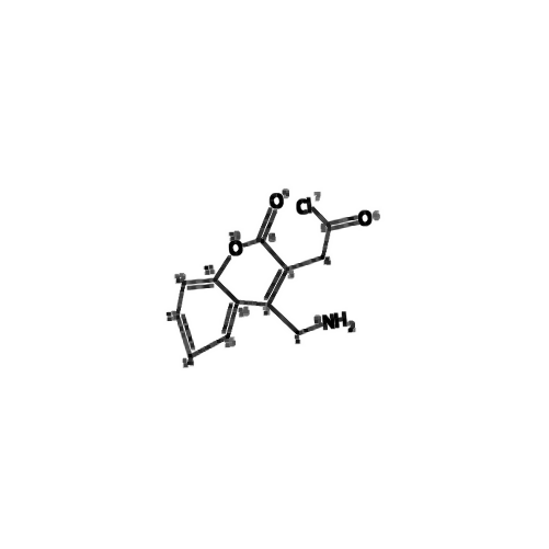 NCc1c(CC(=O)Cl)c(=O)oc2ccccc12